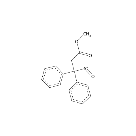 COC(=O)CC([S+]=O)(c1ccccc1)c1ccccc1